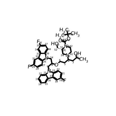 CC(O)CC(CCOC(Cn1c2ccccc2c2cc(F)ccc21)Cn1c2ccc(F)cc2c2cc(F)ccc21)N1CCN(C(=O)OC(C)(C)C)[C@@H](CO)C1